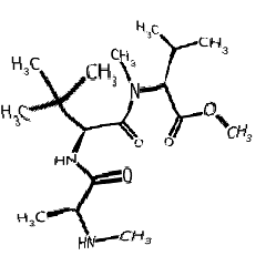 CN[C@@H](C)C(=O)N[C@H](C(=O)N(C)[C@H](C(=O)OC)C(C)C)C(C)(C)C